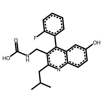 CC(C)Cc1nc2ccc(O)cc2c(-c2ccccc2F)c1CNC(=O)O